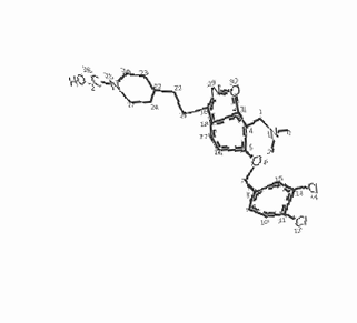 CN(C)Cc1c(OCc2ccc(Cl)c(Cl)c2)ccc2c(CCC3CCN(C(=O)O)CC3)noc12